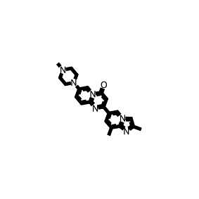 Cc1cn2cc(-c3cc(=O)n4cc(N5CCN(C)CC5)ccc4n3)cc(C)c2n1